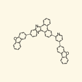 c1ccc2c(c1)oc1cc(-c3ccnc(-c4ccc5c(c4)c4ccccc4c4nc6cc(-c7ccc8oc9ccccc9c8c7)ccn6c54)c3)ccc12